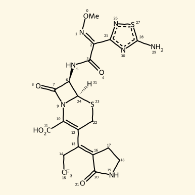 CON=C(C(=O)N[C@@H]1C(=O)N2C(C(=O)O)=C(C(CC(F)(F)F)=C3CCNC3=O)CS[C@H]12)c1nsc(N)n1